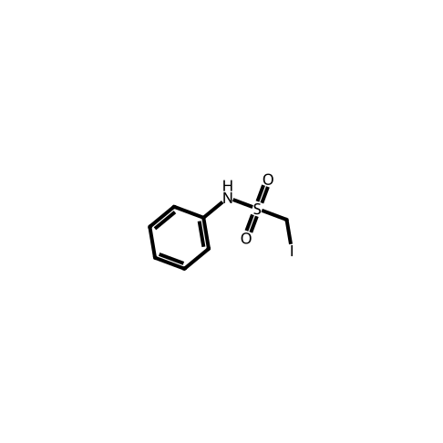 O=S(=O)(CI)Nc1ccccc1